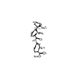 COC(=O)c1ccc(NC(=O)c2ncc(-c3c[nH]nc3C(F)(F)F)n2C)cc1Cl